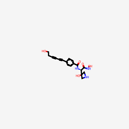 O=C(N[C@@H](C(=O)NO)C1(O)CNC1)c1ccc(C#CC#CCCO)cc1